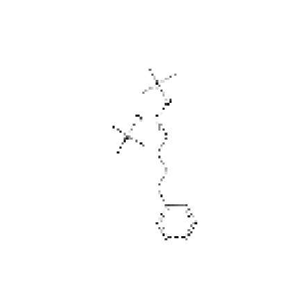 C[Si](C)(C)O[SiH](CCCCc1ccccc1)O[Si](C)(C)C